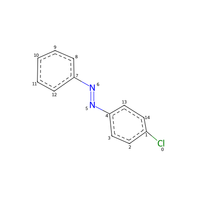 Clc1ccc(N=Nc2ccccc2)cc1